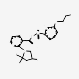 CCCOc1cccc(S(=O)(=O)NC(=O)c2cccnc2N2CC(C)CC2(C)C)n1